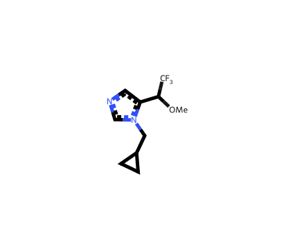 COC(c1cncn1CC1CC1)C(F)(F)F